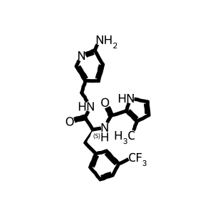 Cc1cc[nH]c1C(=O)N[C@@H](Cc1cccc(C(F)(F)F)c1)C(=O)NCc1ccc(N)nc1